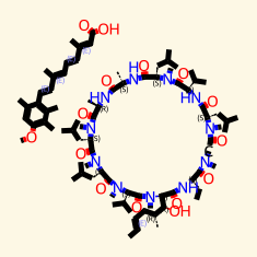 C/C=C/C[C@@H](C)[C@@H](O)[C@H]1C(=O)N[C@@H](CC)C(=O)N(C)CC(=O)N(C)[C@@H](CC(C)C)C(=O)N[C@@H](C(C)C)C(=O)N(C)[C@@H](CC(C)C)C(=O)N[C@@H](C)C(=O)N[C@H](C)C(=O)N(C)[C@@H](CC(C)C)C(=O)N(C)[C@@H](CC(C)C)C(=O)N(C)[C@@H](C(C)C)C(=O)N1C.COc1cc(C)c(/C=C/C(C)=C/C=C/C(C)=C/C(=O)O)c(C)c1C